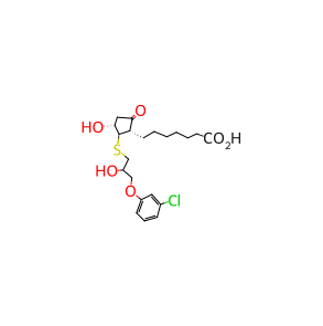 O=C(O)CCCCCC[C@H]1C(=O)C[C@@H](O)[C@@H]1SCC(O)COc1cccc(Cl)c1